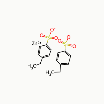 CCc1ccc(S(=O)(=O)[O-])cc1.CCc1ccc(S(=O)(=O)[O-])cc1.[Zn+2]